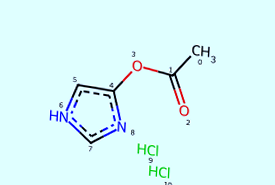 CC(=O)Oc1c[nH]cn1.Cl.Cl